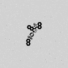 CP(C)(=O)C(C(=O)c1cc2ccccc2cc1C(=O)N1CCN(S(=O)(=O)c2ccc3ccccc3c2)CC1)c1cccc2ccccc12